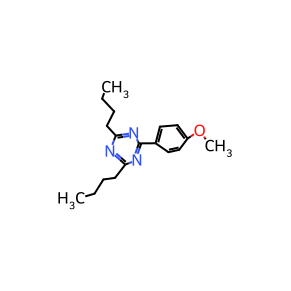 CCCCc1nc(CCCC)nc(-c2ccc(OC)cc2)n1